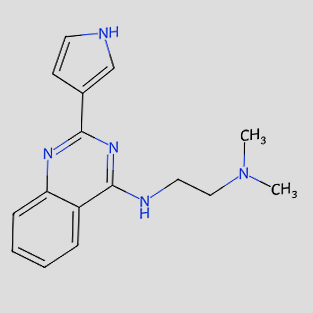 CN(C)CCNc1nc(-c2cc[nH]c2)nc2ccccc12